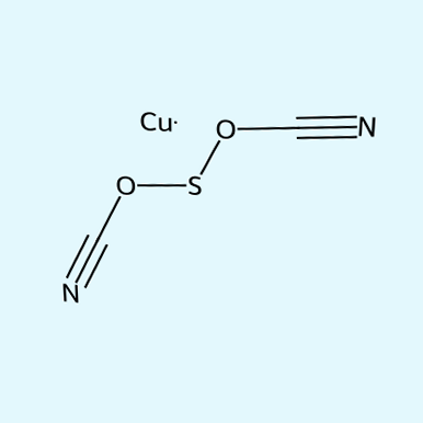 N#COSOC#N.[Cu]